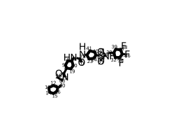 O=C(Nc1ccc(C2=N[C@H](Cc3ccccc3)CO2)cc1)Nc1ccc(S(=O)(=O)NCc2cc(F)c(F)c(F)c2)cc1